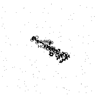 CC[C@H](C)[C@@H]([C@@H](CC(=O)N1CCC[C@H]1[C@H](OC)[C@@H](C)C(=O)N[C@@H](Cc1ccccc1)C(=O)N[C@@H](CCC(=O)O)C(=O)N[C@@H](CCCCNC(=O)CCN1C(=O)C=CC1=O)C(=O)O)OC)N(C)C(=O)[C@@H](NC(=O)[C@H](C(C)C)N(C)CCC(C)CC(C)(C)C)C(C)C